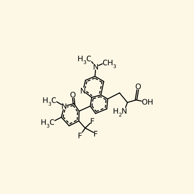 Cc1cc(C(F)(F)F)c(-c2ccc(CC(N)C(=O)O)c3cc(N(C)C)cnc23)c(=O)n1C